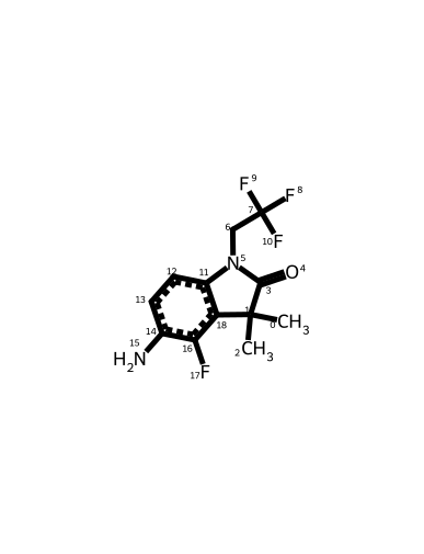 CC1(C)C(=O)N(CC(F)(F)F)c2ccc(N)c(F)c21